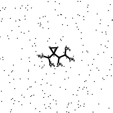 CC(C)C(C)C1(P(C)C)CC1